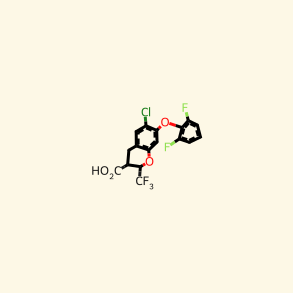 O=C(O)C1Cc2cc(Cl)c(Oc3c(F)cccc3F)cc2OC1C(F)(F)F